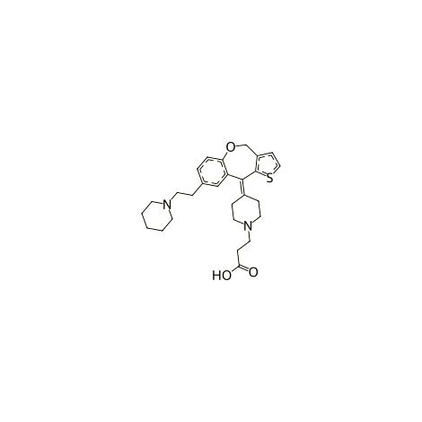 O=C(O)CCN1CCC(=C2c3cc(CCN4CCCCC4)ccc3OCc3ccsc32)CC1